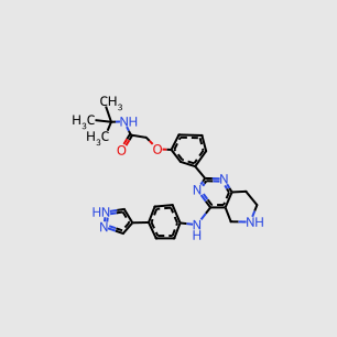 CC(C)(C)NC(=O)COc1cccc(-c2nc3c(c(Nc4ccc(-c5cn[nH]c5)cc4)n2)CNCC3)c1